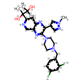 Cn1cc(-c2nc3cc(C(C)(O)C(C)(C)O)ncc3nc2N2CCN(Cc3ccc(F)cc3F)CC2)cn1